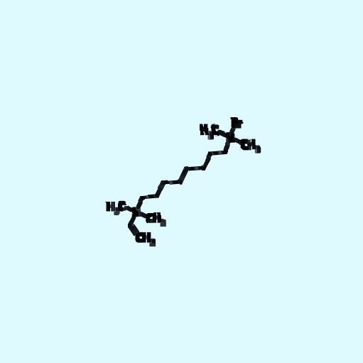 C=C[Si](C)(C)CCCCCCCC[Si](C)(C)Br